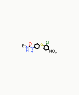 CCNC(=O)Nc1ccc(Sc2ccc([N+](=O)[O-])cc2Cl)cc1